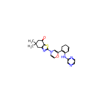 CC1(C)CC(=O)c2sc(N3C=COC(C4=C(Nc5cnccn5)C=CCC4)=C3)nc2C1